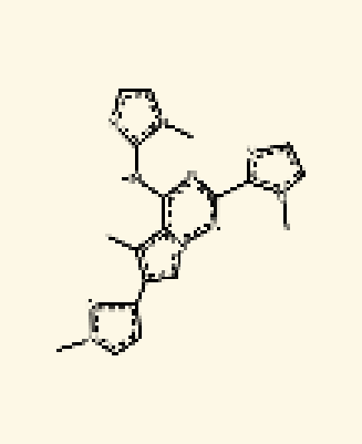 Cc1c(-c2ccn(C)n2)cn2nc(-c3nccn3C)nc(Nc3nccn3C)c12